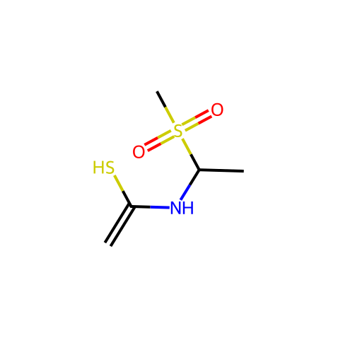 C=C(S)NC(C)S(C)(=O)=O